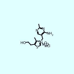 Cc1ncc(C[n+]2csc(CCO)c2C)c(N)n1.Cl.O.O